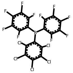 Fc1c(F)c(F)c(B(c2c(F)c(F)c(F)c(F)c2F)c2c(Cl)c(Cl)c(Cl)c(Cl)c2Cl)c(F)c1F